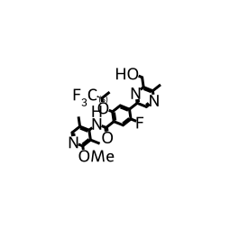 COc1ncc(C)c(NC(=O)c2cc(F)c(-c3cnc(C)c(CO)n3)cc2O[C@@H](C)C(F)(F)F)c1C